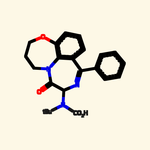 CC(C)(C)N(C(=O)O)C1N=C(c2ccccc2)c2cccc3c2N(CCCO3)C1=O